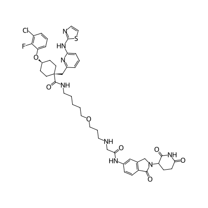 O=C1CCC(N2Cc3cc(NC(=O)CNCCCOCCCCCNC(=O)[C@]4(Cc5cccc(Nc6nccs6)n5)CC[C@@H](Oc5cccc(Cl)c5F)CC4)ccc3C2=O)C(=O)N1